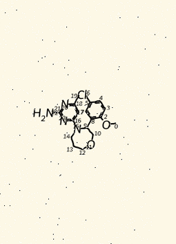 COc1ccc(Cl)cc1C1COCCCN1c1cc(C)nc(N)n1